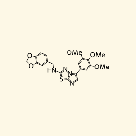 COc1cc(-c2cnc3sc(NCc4ccc5c(c4)OCO5)nn23)cc(OC)c1OC